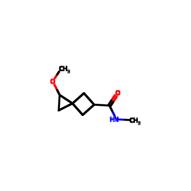 CNC(=O)C1CC2(C1)CC2OC